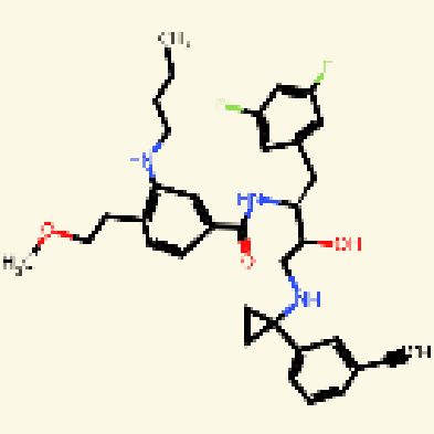 C#Cc1cccc(C2(NC[C@H](O)[C@H](Cc3cc(F)cc(F)c3)NC(=O)c3ccc(CCOC)c(NCCCC)c3)CC2)c1